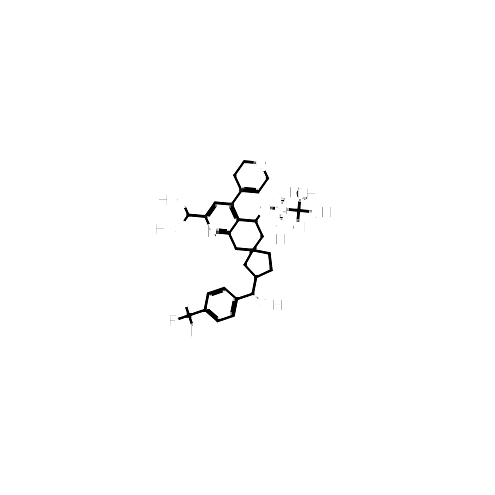 CC(C)c1cc(C2=CCOCC2)c2c(n1)CC1(CCC([C@@H](O)c3ccc(C(F)(F)F)cc3)C1)CC2O[Si](C)(C)C(C)(C)C